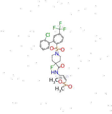 C[C@@H](/C=C\S(C)(=O)=O)NC(=O)C1(F)CCN(S(=O)(=O)c2ccc(C(F)(F)F)cc2-c2ccccc2Cl)CC1